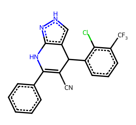 N#CC1=C(c2ccccc2)Nc2n[nH]cc2C1c1cccc(C(F)(F)F)c1Cl